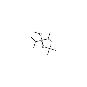 CO[Si](OC(C)(C)C)(C(C)C)C(C)C